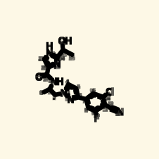 CC(Cn1ccc(-c2cc(F)c(C#N)c(Cl)c2)n1)NC(=O)c1c[nH]c(C(C)O)n1